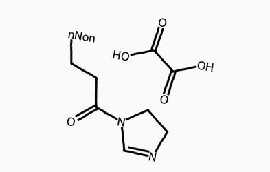 CCCCCCCCCCCC(=O)N1C=NCC1.O=C(O)C(=O)O